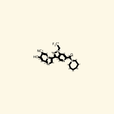 N#Cc1cn2c(-c3nn(CC(F)(F)F)c4cc(C(=O)N5CCCCCC5)ncc34)cnc2cc1O